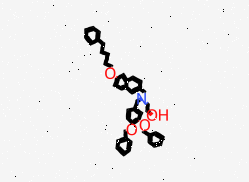 OCCN(Cc1ccc(OCc2ccccc2)c(OCc2ccccc2)c1)Cc1ccc2cc(OCCCCCc3ccccc3)ccc2c1